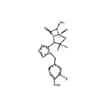 COc1ccc(Cn2nnnc2C2N3C(=O)C(N)[C@@H]3SC2(C)C)cc1Cl